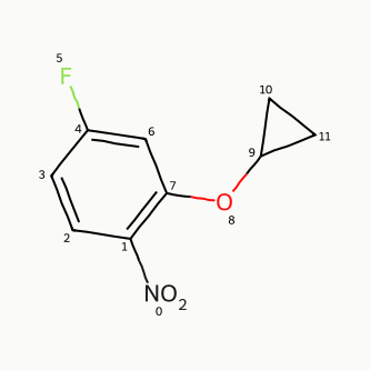 O=[N+]([O-])c1ccc(F)cc1OC1CC1